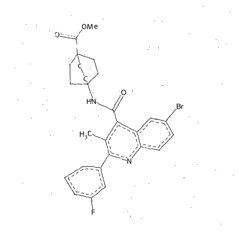 COC(=O)C12CCC(NC(=O)c3c(C)c(-c4cccc(F)c4)nc4ccc(Br)cc34)(CC1)CC2